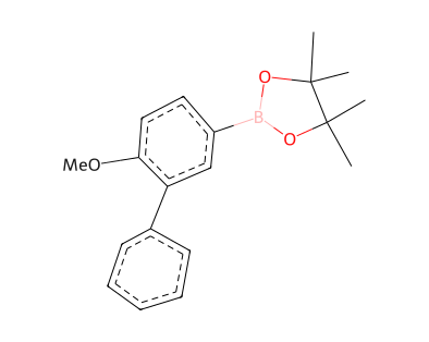 COc1ccc(B2OC(C)(C)C(C)(C)O2)cc1-c1ccccc1